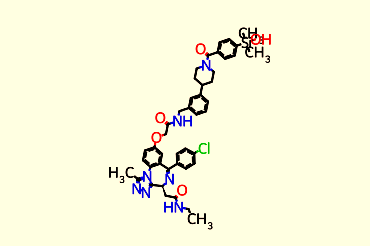 CCNC(=O)C[C@@H]1N=C(c2ccc(Cl)cc2)c2cc(OCC(=O)NCc3cccc(C4CCN(C(=O)c5ccc([Si](C)(C)O)cc5)CC4)c3)ccc2-n2c(C)nnc21